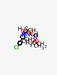 CC(C)[C@@H](NC(=O)C[C@@H]1CCCN1C(=O)OC(C)(C)C)C(=O)N1CCC(c2ccc(Cl)cc2)C(C)(C)C1